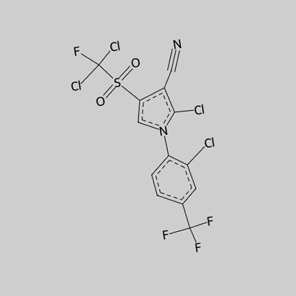 N#Cc1c(S(=O)(=O)C(F)(Cl)Cl)cn(-c2ccc(C(F)(F)F)cc2Cl)c1Cl